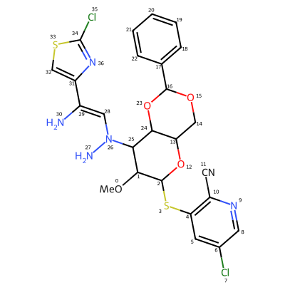 COC1C(Sc2cc(Cl)cnc2C#N)OC2COC(c3ccccc3)OC2C1N(N)/C=C(\N)c1csc(Cl)n1